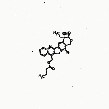 CCCC(=O)OCc1c2c(nc3ccccc13)-c1cc3c(c(=O)n1C2)COC(=O)[C@]3(O)CC